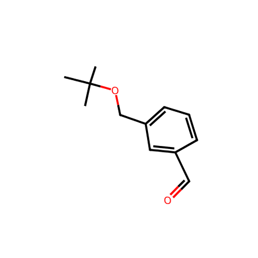 CC(C)(C)OCc1cccc(C=O)c1